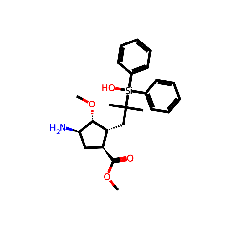 COC(=O)[C@H]1C[C@@H](N)[C@H](OC)[C@@H]1CC(C)(C)[Si](O)(c1ccccc1)c1ccccc1